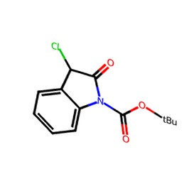 CC(C)(C)OC(=O)N1C(=O)C(Cl)c2ccccc21